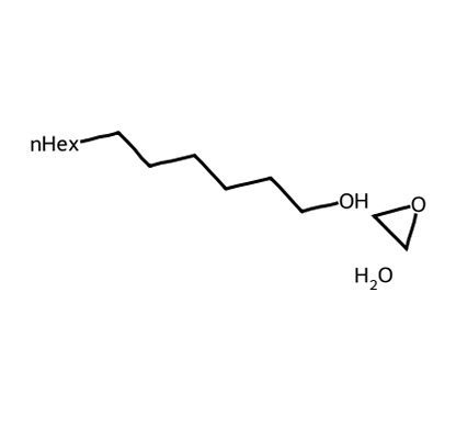 C1CO1.CCCCCCCCCCCCO.O